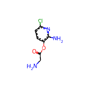 NCC(=O)Oc1ccc(Cl)nc1N